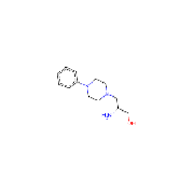 N[C@@H](CO)CN1CCN(c2ccccc2)CC1